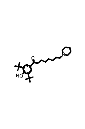 CC(C)(C)c1cc(C(=O)CCCCCCCN2CCCCC2)cc(C(C)(C)C)c1O